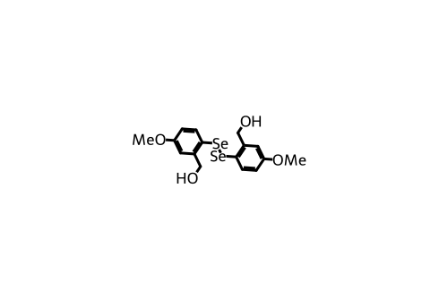 COc1ccc([Se][Se]c2ccc(OC)cc2CO)c(CO)c1